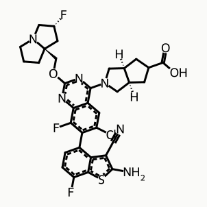 N#Cc1c(N)sc2c(F)ccc(-c3c(Cl)cc4c(N5C[C@H]6CC(C(=O)O)C[C@H]6C5)nc(OC[C@@]56CCCN5C[C@H](F)C6)nc4c3F)c12